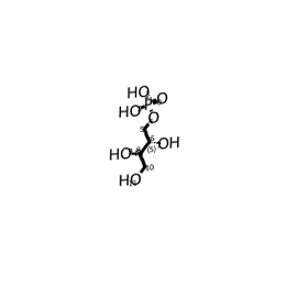 O=P(O)(O)OC[C@H](O)[C@H](O)CO